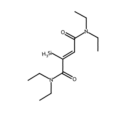 CCN(CC)C(=O)C=C([SiH3])C(=O)N(CC)CC